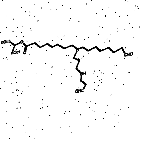 CCCCCCCCC(CCCCCCCC)OC(=O)CCCCCCCN(CCCCCCCC=O)CCCNSCC=O